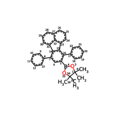 CC1(C)OB(c2cc(-c3ccccc3)c3c(c2-c2ccccc2)-c2cccc4cccc-3c24)OC1(C)C